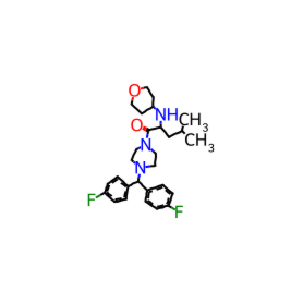 CC(C)CC(NC1CCOCC1)C(=O)N1CCN(C(c2ccc(F)cc2)c2ccc(F)cc2)CC1